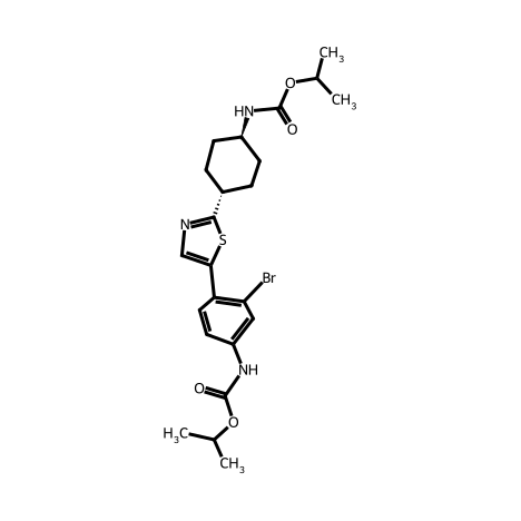 CC(C)OC(=O)Nc1ccc(-c2cnc([C@H]3CC[C@H](NC(=O)OC(C)C)CC3)s2)c(Br)c1